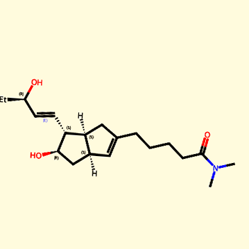 CC[C@@H](O)/C=C/[C@@H]1[C@H]2CC(CCCCC(=O)N(C)C)=C[C@H]2C[C@H]1O